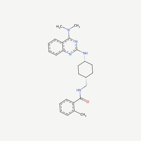 Cc1ccccc1C(=O)NC[C@H]1CC[C@@H](Nc2nc(N(C)C)c3ccccc3n2)CC1